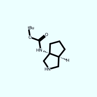 CC(C)(C)OC(=O)N[C@]12CCC[C@H]1CNC2